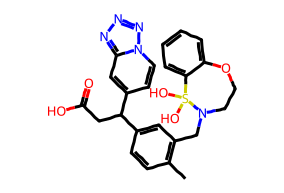 Cc1ccc(C(CC(=O)O)c2ccn3nnnc3c2)cc1CN1CCOc2ccccc2S1(O)O